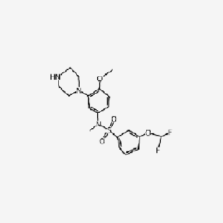 COc1ccc(N(C)S(=O)(=O)c2cccc(OC(F)F)c2)cc1N1CCNCC1